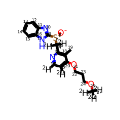 [2H]c1nc(C([2H])([2H])[S+]([O-])c2nc3ccccc3[nH]2)c(C)c(OCCCOC([2H])([2H])[2H])c1[2H]